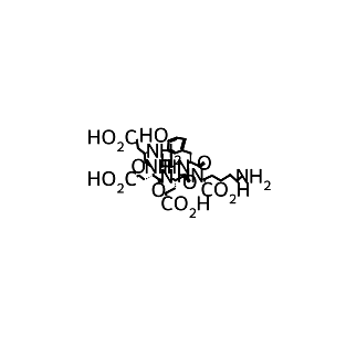 NCCCC[C@H](NC(=O)[C@H](Cc1ccc(O)cc1)NC(=O)[C@H](CCC(=O)O)NC(=O)[C@H](CCC(=O)O)NC(=O)[C@@H](N)CCC(=O)O)C(=O)O